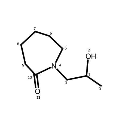 CC(O)CN1CCCCCC1=O